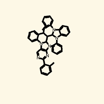 C=CC1c2ccccc2N2c3cnc(-c4ccccc4C)nc3N(C)C2C1C1N(c2ccccc2)c2ccccc2N1c1ccccc1C